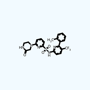 Cc1ccccc1-c1nc(NS(=O)(=O)c2cccc(N3CCNC(=O)C3)n2)ccc1C(F)(F)F